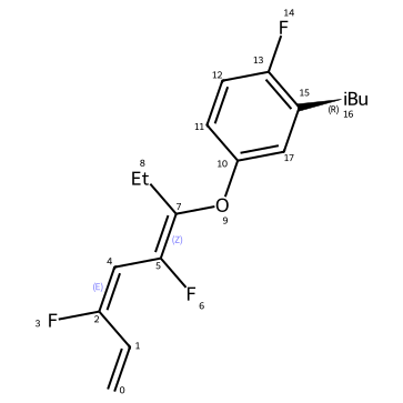 C=C/C(F)=C\C(F)=C(/CC)Oc1ccc(F)c([C@H](C)CC)c1